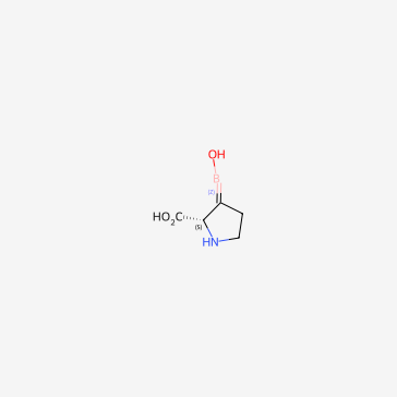 O=C(O)[C@H]1NCC/C1=B/O